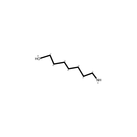 [NH]CCCCCCCO